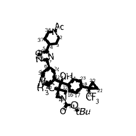 CC(=O)N1CCC(c2nc(-c3cncc(C(O)(c4ccc(C5(C(F)(F)F)CC5)cc4)C4(C)CN(C(=O)OC(C)(C)C)C4)c3)no2)CC1